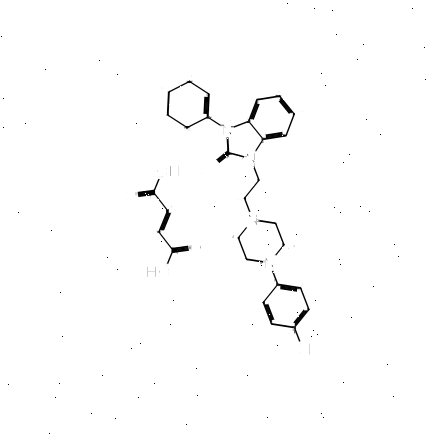 O=C(O)/C=C/C(=O)O.O=c1n(CCN2CCN(c3ccc(Cl)cc3)CC2)c2ccccc2n1C1=CCCCC1